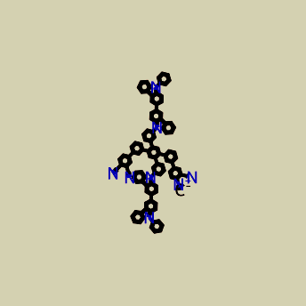 [C-]#[N+]c1ccc(-c2cccc(-c3cc(-c4cccc(-n5c6ccccc6c6cc(-c7ccc8c(c7)c7ccccc7n8-c7ccccc7)ccc65)c4)c(-c4cccc(-c5ccc(C#N)c(C#N)c5)c4)cc3-c3cccc(-n4c5ccccc5c5cc(-c6ccc7c(c6)c6ccccc6n7-c6ccccc6)ccc54)c3)c2)cc1C#N